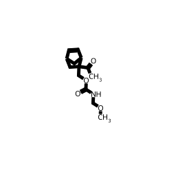 COCNC(=O)OCC1(C(C)=O)CC2C=CC1C2